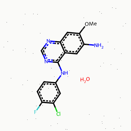 COc1cc2ncnc(Nc3ccc(F)c(Cl)c3)c2cc1N.O